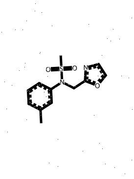 Cc1cccc(N(Cc2ncco2)S(C)(=O)=O)c1